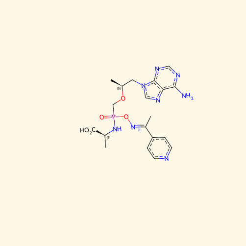 C/C(=N\OP(=O)(CO[C@@H](C)Cn1cnc2c(N)ncnc21)N[C@@H](C)C(=O)O)c1ccncc1